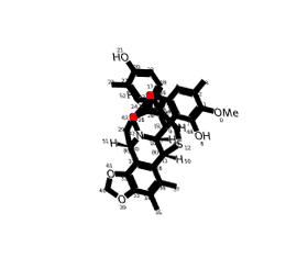 COc1c(C)cc2c(c1O)[C@H]1[C@@H]3[C@@H]4SC[C@]5(NCCc6cc(O)c(C)cc65)C(=O)OC[C@@H](c5c6c(c(C)c(C)c54)OCO6)N3C[C@@H](C2)N1C